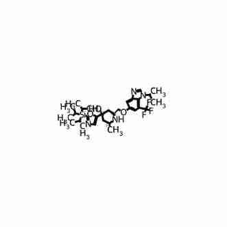 CC(C)n1cnc2cc(OC[C@@H]3C[C@](O)(c4cnc([Si](C(C)C)(C(C)C)C(C)C)o4)C[C@H](C)N3)cc(C(F)(F)F)c21